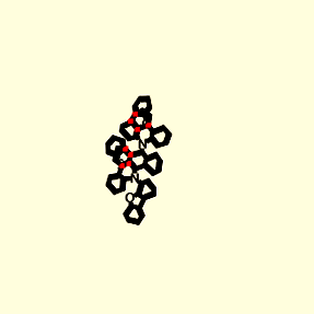 c1ccc(-c2ccccc2N(c2cccc3c2oc2ccccc23)c2c3ccccc3c(N(c3ccccc3-c3ccccc3)c3cccc4c3oc3ccccc34)c3c2sc2ccccc23)cc1